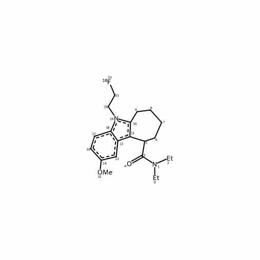 CCN(CC)C(=O)C1CCCCc2c1c1cc(OC)ccc1n2CC[18F]